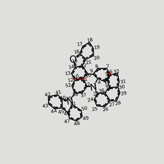 c1cc(N(c2ccccc2-c2cccc3oc4ccccc4c23)c2cccc3ccc4ccccc4c23)cc(-n2c3ccccc3c3ccccc32)c1